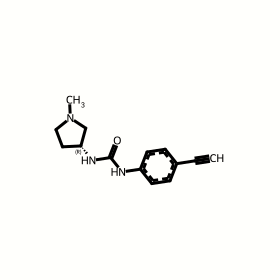 C#Cc1ccc(NC(=O)N[C@@H]2CCN(C)C2)cc1